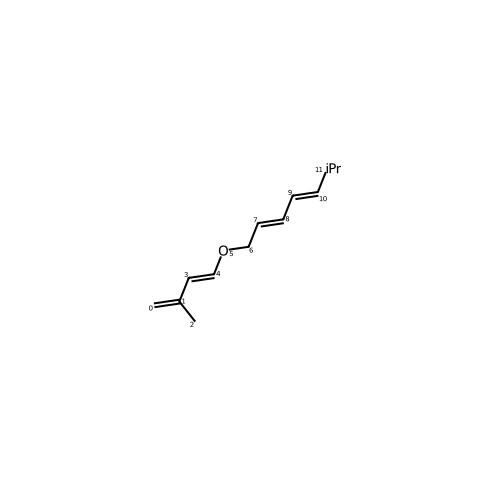 C=C(C)C=COCC=CC=CC(C)C